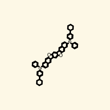 c1ccc(N(c2ccc(C3CCCCC3)cc2)c2ccc3cc4c(cc3c2)oc2cc3c(cc24)oc2cc4cc(N(c5ccccc5)c5ccc(C6CCCCC6)cc5)ccc4cc23)cc1